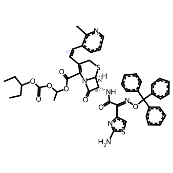 CCC(CC)OC(=O)OC(C)OC(=O)C1=C(/C=C\c2cccnc2C)CS[C@H]2[C@H](NC(=O)C(=NOC(c3ccccc3)(c3ccccc3)c3ccccc3)c3csc(N)n3)C(=O)N12